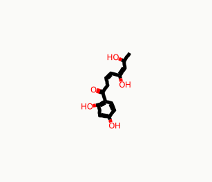 CC(O)/C=C(O)\C=C/CC(=O)c1ccc(O)cc1O